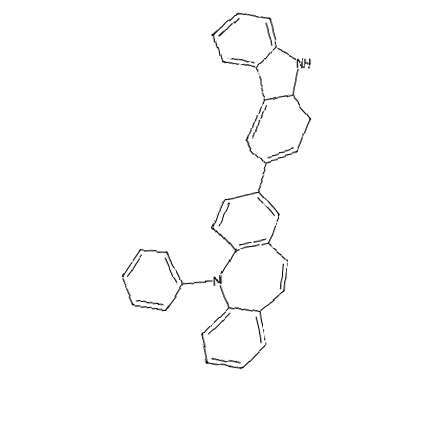 C1=Cc2cc(C3=CCC4Nc5ccccc5C4=C3)ccc2N(c2ccccc2)c2ccccc21